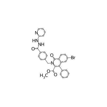 COC(=O)c1c(-c2ccccc2)c2cc(Br)ccc2c(=O)n1Cc1ccc(C(=O)NNc2ccccn2)cc1